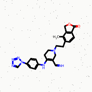 Cc1c(CCN2CCC(Nc3ccc(-n4cnnn4)cc3)=C(C=N)C2)ccc2c1COC2=O